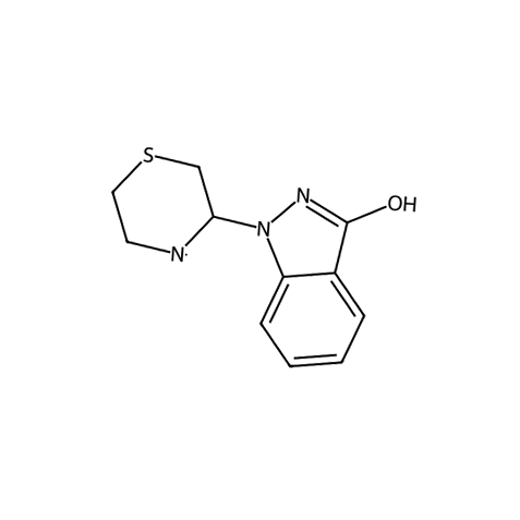 Oc1nn(C2CSCC[N]2)c2ccccc12